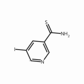 NC(=S)c1cn[c]c(I)c1